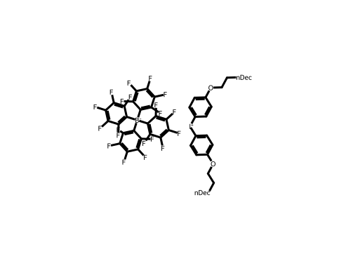 CCCCCCCCCCCCOc1ccc([I+]c2ccc(OCCCCCCCCCCCC)cc2)cc1.Fc1c(F)c(F)c([B-](c2c(F)c(F)c(F)c(F)c2F)(c2c(F)c(F)c(F)c(F)c2F)c2c(F)c(F)c(F)c(F)c2F)c(F)c1F